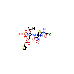 CO/N=C(\C(=O)NC1C(=O)N(S(=O)(=O)O)C1COC(=O)Cc1cccs1)c1csc(NC(=O)CCl)n1.[NaH]